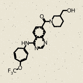 O=C(c1ccc2c(NC3=CC=C(OC(F)(F)F)C=CC3)ncnc2c1)N1CCCC(CO)C1